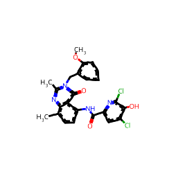 COc1ccccc1Cn1c(C)nc2c(C)ccc(NC(=O)c3cc(Cl)c(O)c(Cl)n3)c2c1=O